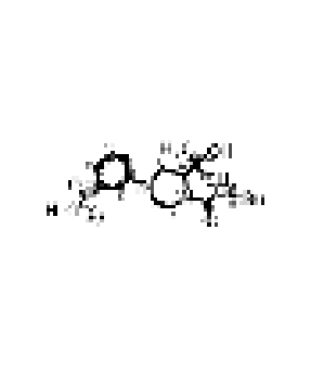 CC(C)(C)OC(=O)N1CCN(c2cccc(S(C)(=O)=O)c2)CC1C(C)(C)O